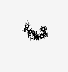 CN1CCC(Nc2ccc(C(=O)Nc3cc(-c4ccc5ncn(-c6ccccc6)c5c4)n[nH]3)cc2)CC1